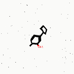 Cc1ccc(C2=CCCC2)cc1O